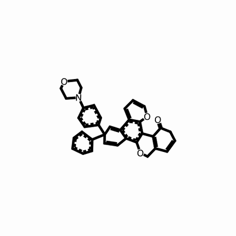 O=C1CC=CC2=C1c1c(c3c(c4c1OC=CC=4)=CC(c1ccccc1)(c1ccc(N4CCOCC4)cc1)C=C3)OC2